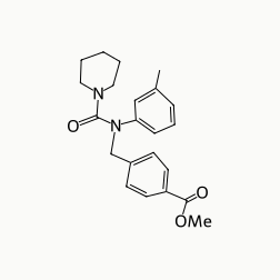 COC(=O)c1ccc(CN(C(=O)N2CCCCC2)c2cccc(C)c2)cc1